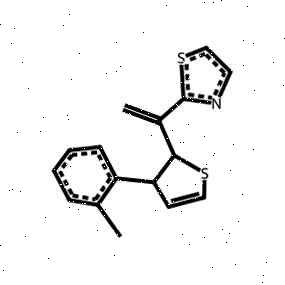 C=C(c1nccs1)C1SC=CC1c1ccccc1C